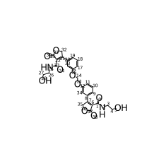 O=C(NCCO)C1=C(c2cccc(OCOc3cccc(C4=C(C(=O)NCCO)C(=O)OC4)c3)c2)COC1=O